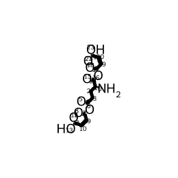 N[C@@H](CCC(=O)OC(=O)/C=C\C(=O)O)C(=O)OC(=O)/C=C\C(=O)O